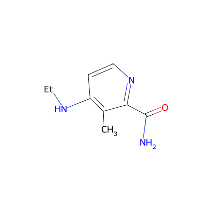 CCNc1ccnc(C(N)=O)c1C